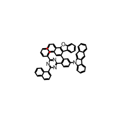 c1ccc(-c2nc(-c3ccc(-n4c5ccccc5c5cc6ccccc6cc54)cc3-c3cc4ccccc4c4oc5ccccc5c34)nc(-c3cccc4ccccc34)n2)cc1